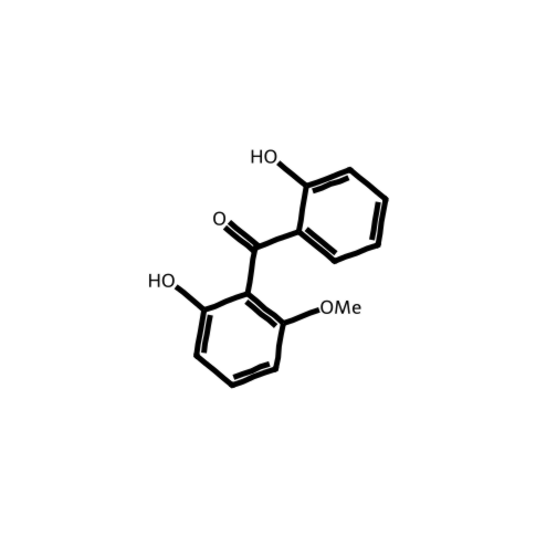 COc1cccc(O)c1C(=O)c1ccccc1O